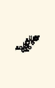 Cc1ccc(C(=O)N[C@H](CNC(=O)C(NC(=O)OCC(C)C)C(C)C)C(C)C)cc1